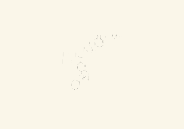 COc1ccc(S(=O)(=O)N2CCN(CC(C)C)[C@H](c3cc4cnn(-c5ccc(F)cc5)c4cc3C)C2)cn1